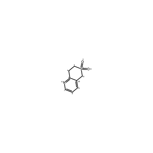 O=S1(=O)CCc2nc[c]cc2C1